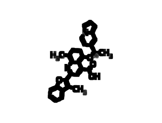 Cc1c(-c2cc(C(=O)O)c3c(O[C@@H](C)c4ccn5cccc5c4)ccc(C)c3n2)oc2ccccc12